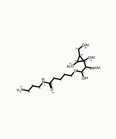 CC(=O)NC(C(O)OCCCCC(=O)NCCCN)C1(OC(C)=O)C(COC(C)=O)C1OC(C)=O